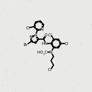 O=C(Nc1c(Cl)cc(Cl)cc1N(CCCCl)C(=O)O)c1cc(Br)nn1-c1ncccc1Cl